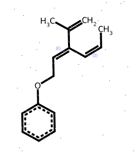 C=C(C)C(/C=C\C)=C/COc1ccccc1